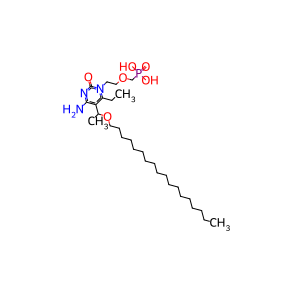 CCCCCCCCCCCCCCCCCCOC(C)c1c(N)nc(=O)n(CCOCP(=O)(O)O)c1CC